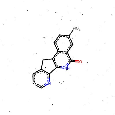 O=c1[nH]c2c(c3ccc([N+](=O)[O-])cc13)Cc1cccnc1-2